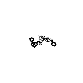 O=C(CC12CC3CC4CC(c5ccccc5)(C1)C34C2)NCC(=O)N1CCN(Cc2ccccc2)CC1